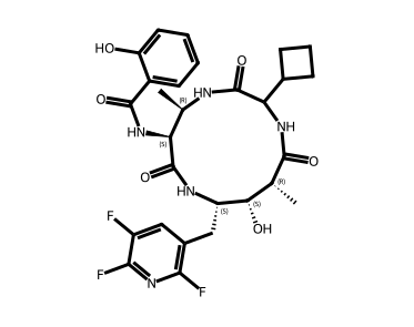 C[C@H]1NC(=O)C(C2CCC2)NC(=O)[C@H](C)[C@H](O)[C@H](Cc2cc(F)c(F)nc2F)NC(=O)[C@H]1NC(=O)c1ccccc1O